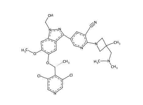 COc1cc2c(cc1O[C@H](C)c1c(Cl)cncc1Cl)c(-c1cnc(N3CC(C)(CN(C)C)C3)c(C#N)c1)nn2CO